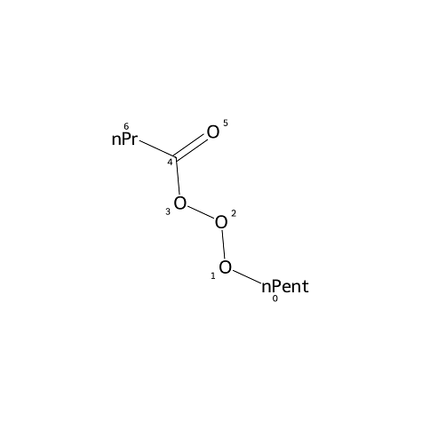 CCCCCOOOC(=O)CCC